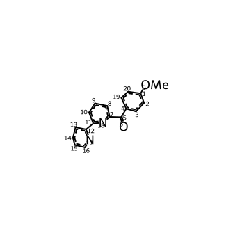 COc1ccc(C(=O)c2cccc(-c3ccccn3)n2)cc1